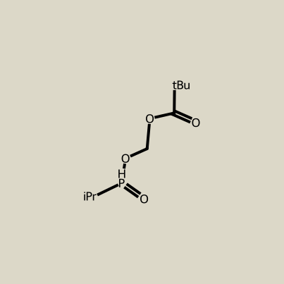 CC(C)[PH](=O)OCOC(=O)C(C)(C)C